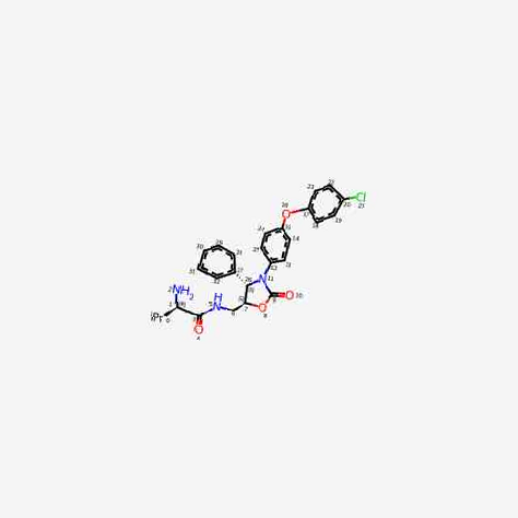 CC(C)[C@@H](N)C(=O)NC[C@@H]1OC(=O)N(c2ccc(Oc3ccc(Cl)cc3)cc2)[C@H]1c1ccccc1